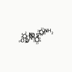 COc1cccc(-c2noc(-c3ccccc3Sc3ccc(N)cc3)n2)c1OC